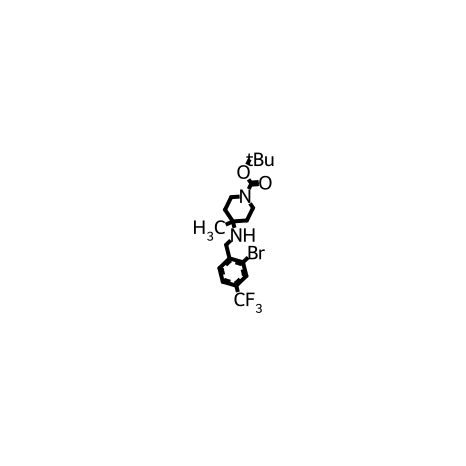 CC1(NCc2ccc(C(F)(F)F)cc2Br)CCN(C(=O)OC(C)(C)C)CC1